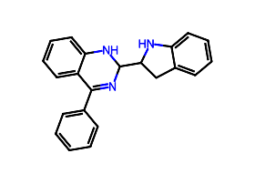 c1ccc(C2=NC(C3Cc4ccccc4N3)Nc3ccccc32)cc1